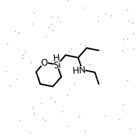 CCNC(CC)C[SiH]1CCCCO1